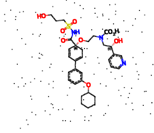 O=C(O)N(CCO[C@@]1(C(=O)NS(=O)(=O)CCCO)C=CC(c2cccc(OC3CCCCC3)c2)=CC1)C[C@H](O)c1cccnc1